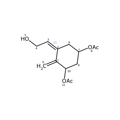 C=C1/C(=C\CO)CC(OC(C)=O)CC1OC(C)=O